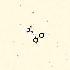 O=C(NCc1ccc(F)cc1-c1ccc(Cl)c(Cl)c1)c1c[nH]nc1C(F)(F)F